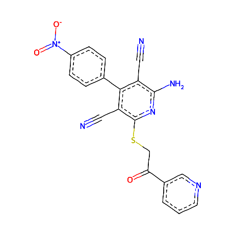 N#Cc1c(N)nc(SCC(=O)c2cccnc2)c(C#N)c1-c1ccc([N+](=O)[O-])cc1